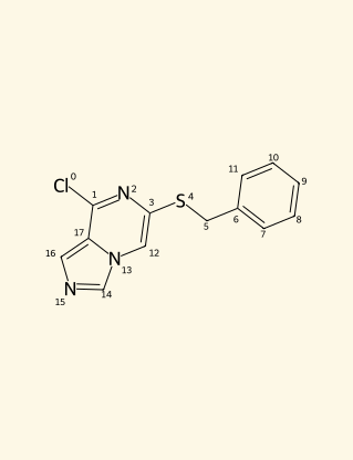 Clc1nc(SCc2ccccc2)cn2cncc12